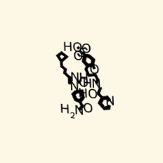 NC(=O)c1ccc(-n2cc(CCCC3CCC3)[nH]c2=O)cc1.O=S(=O)(O)c1ccc2c(c1)CCC(CNCC(O)c1cccnc1)O2